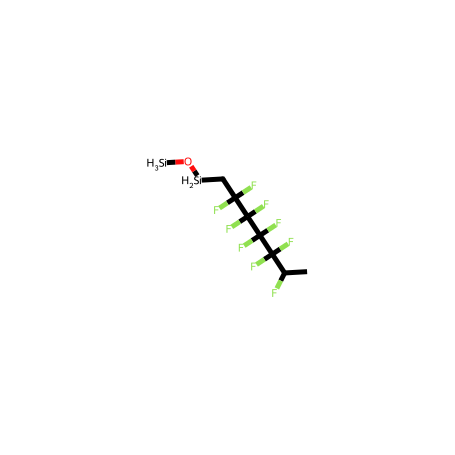 CC(F)C(F)(F)C(F)(F)C(F)(F)C(F)(F)C[SiH2]O[SiH3]